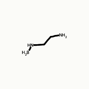 BNCCN